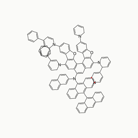 C1=CCN(c2ccc3c(c2)oc2c(N4C=CC=CC4c4ccncc4)cc4cc(N(c5ccc6ccccc6c5)c5c6ccccc6c(-c6c7ccccc7cc7ccccc67)c6ccccc56)c5cc(N6C=C(c7ccccc7)C=CC6)c6c7cc(N8C=CC(c9ccccc9)=C9C=CC=CC98)ccc7oc6c5c4c23)C=C1